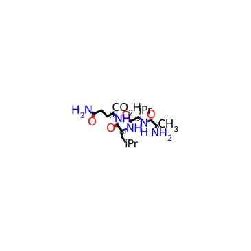 CC(C)C[C@H](NC(=O)[C@@H](NC(=O)[C@H](C)N)C(C)C)C(=O)N[C@@H](CCC(N)=O)C(=O)O